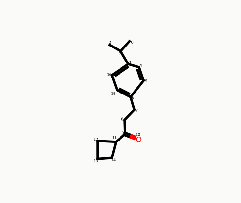 CC(C)c1ccc(CCC(=O)C2CCC2)cc1